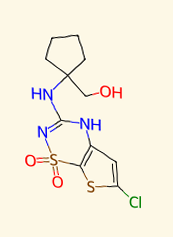 O=S1(=O)N=C(NC2(CO)CCCC2)Nc2cc(Cl)sc21